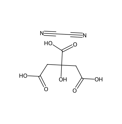 N#CC#N.O=C(O)CC(O)(CC(=O)O)C(=O)O